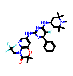 CN1C(C)(C)CC(Nc2nc(Nc3cnc4c(c3)OC(C)(C)C(=O)N4CC(F)(F)F)nc(-c3ccccc3)c2F)CC1(C)C